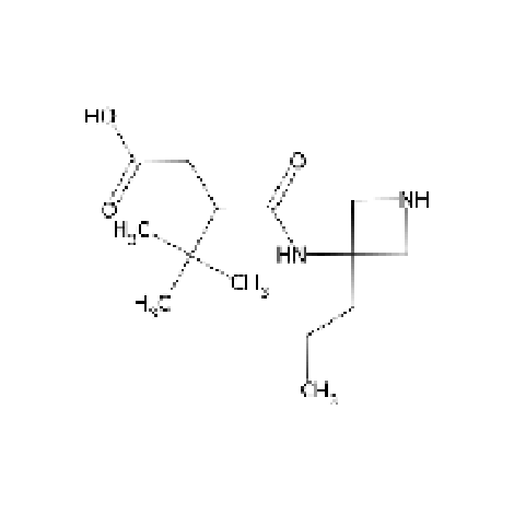 CCCC1(NC(=O)C(CC(=O)O)C(C)(C)C)CNC1